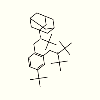 CC(C)(C)c1ccc(CP(C(C)(C)C)C23CC4CC(CC(C4)C2)C3)c(CP(C(C)(C)C)C(C)(C)C)c1